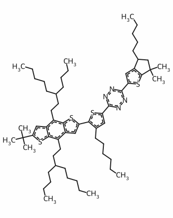 CCCCCCc1cc(-c2nnc(-c3cc4c(s3)C(C)(C)CC4CCCCC)nn2)sc1-c1cc2c(CCC(CCCC)CCCCC)c3sc(C(C)(C)C)cc3c(CCC(CCCC)CCCCC)c2s1